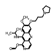 COc1cc2c(NC(C)C)c3c(OC=O)nccc3nc2cc1OCCCN1CCCC1